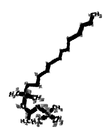 CCCCCCCCCCCCC[Si](C)(C)OC(C)=N[Si](C)(C)C